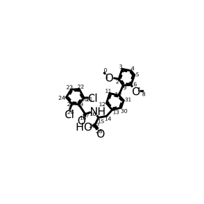 COc1cccc(OC)c1-c1ccc(CC(NC(=O)c2c(Cl)cccc2Cl)C(=O)O)cc1